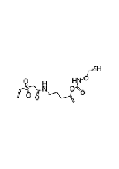 C=CS(=O)(=O)CC(=O)NCCCC(=C)OC(=O)NOCS